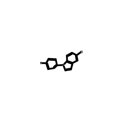 Fc1ccc(-n2ccc3cc(Cl)ccc32)cc1